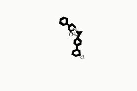 CC1CC(c2ccccc2)=CCN1C1CC1c1ccc(C2CCCC(Cl)C2)cc1